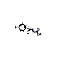 C1=CC=CNC=C1.O=C(O)/C=C/C(=O)O